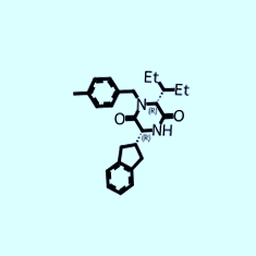 CCC(CC)[C@@H]1C(=O)N[C@H](C2Cc3ccccc3C2)C(=O)N1Cc1ccc(C)cc1